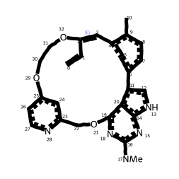 C=C/C1=C\c2cc(ccc2C)-c2c[nH]c3nc(NC)nc(c23)OCc2cc(ccn2)OCCO1